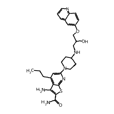 CCCc1cc(N2CCC(NCC(O)COc3ccc4ncccc4c3)CC2)nc2sc(C(N)=O)c(N)c12